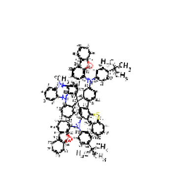 CN1c2ccccc2N2c3ccccc3C3(c4cc(N(c5ccc(C(C)(C)C)cc5)c5cccc6c5oc5ccccc56)ccc4-c4c3cc(N(c3ccc(C(C)(C)C)cc3)c3cccc5c3oc3ccccc35)c3c4sc4ccccc43)c3cccc1c32